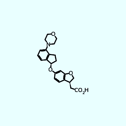 O=C(O)C[C@@H]1COc2cc(O[C@@H]3CCc4c3cccc4N3CCOCC3)ccc21